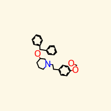 c1ccc(C(O[C@@H]2CCCN(CCc3ccc4c(c3)OCO4)C2)c2ccccc2)cc1